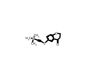 C[Si](C)(C)C#CSc1ccc2c(c1)C(=O)CCO2